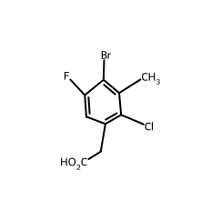 Cc1c(Cl)c(CC(=O)O)cc(F)c1Br